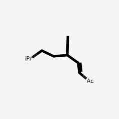 CC(=O)C=CC(C)CCC(C)C